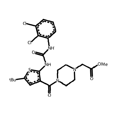 COC(=O)CN1CCN(C(=O)c2cc(C(C)(C)C)sc2NC(=O)Nc2cccc(Cl)c2Cl)CC1